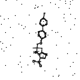 CC1(COc2cnc(-c3ccc(F)cc3)cn2)CC2=NC=C([N+](=O)[O-])[N+]2N1